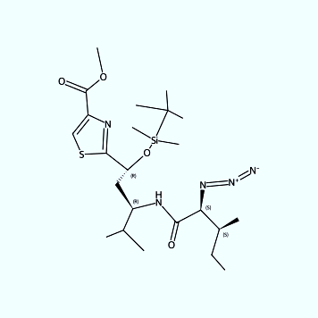 CC[C@H](C)[C@H](N=[N+]=[N-])C(=O)N[C@H](C[C@@H](O[Si](C)(C)C(C)(C)C)c1nc(C(=O)OC)cs1)C(C)C